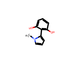 Cn1cccc1-c1c(O)cccc1O